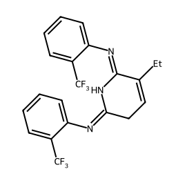 CCC1=CCC(=Nc2ccccc2C(F)(F)F)NC1=Nc1ccccc1C(F)(F)F